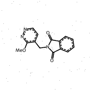 COc1nnccc1CN1C(=O)c2ccccc2C1=O